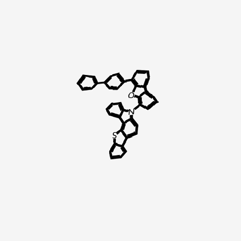 c1ccc(-c2ccc(-c3cccc4c3oc3c(-n5c6ccccc6c6c7sc8ccccc8c7ccc65)cccc34)cc2)cc1